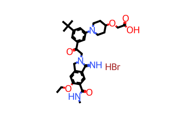 Br.CCOc1cc2c(cc1C(=O)NC)C(=N)N(CC(=O)c1cc(N3CCC(OCC(=O)O)CC3)cc(C(C)(C)C)c1)C2